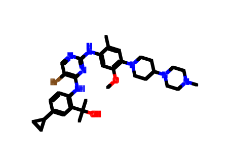 COc1cc(Nc2ncc(Br)c(Nc3ccc(C4CC4)cc3C(C)(C)O)n2)c(C)cc1N1CCC(N2CCN(C)CC2)CC1